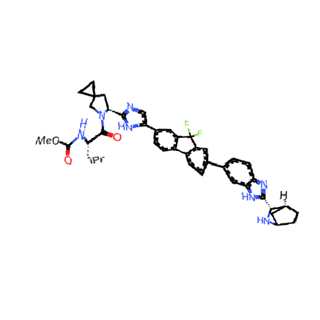 COC(=O)N[C@H](C(=O)N1CC2(CC2)C[C@H]1c1ncc(-c2ccc3c(c2)C(F)(F)c2cc(-c4ccc5nc([C@H]6NC7CC[C@H]6C7)[nH]c5c4)ccc2-3)[nH]1)C(C)C